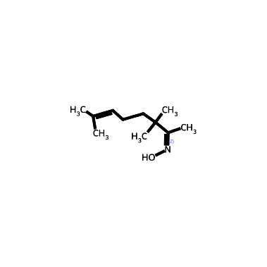 CC(C)=CCCC(C)(C)/C(C)=N\O